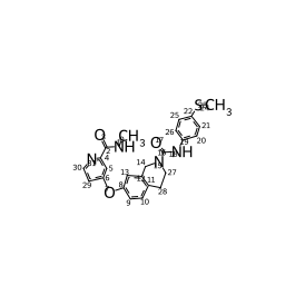 CNC(=O)c1cc(Oc2ccc3c(c2)CN(C(=O)Nc2ccc(SC)cc2)CC3)ccn1